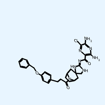 Nc1nc(N)c(C(=O)/N=C2\NCC3(CC4CCC(C3)N4C(=O)CCc3ccc(OCc4ccccc4)cc3)N2)nc1Cl